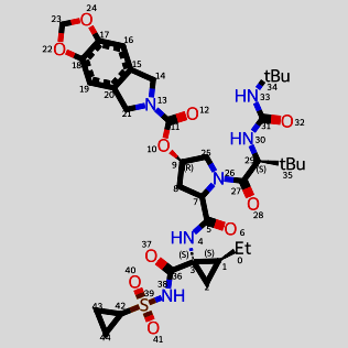 CC[C@H]1C[C@@]1(NC(=O)C1C[C@@H](OC(=O)N2Cc3cc4c(cc3C2)OCO4)CN1C(=O)[C@@H](NC(=O)NC(C)(C)C)C(C)(C)C)C(=O)NS(=O)(=O)C1CC1